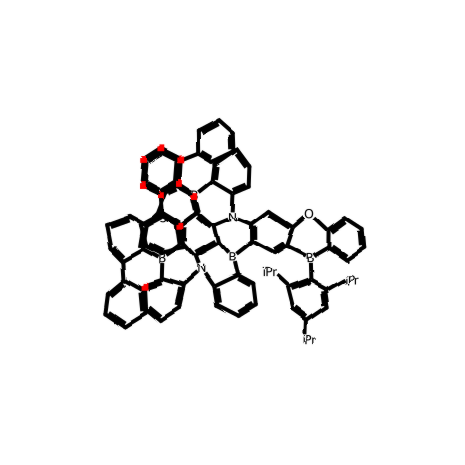 CC(C)c1cc(C(C)C)c(B2c3ccccc3Oc3cc4c(cc32)B2c3ccccc3N3c5ccccc5B(c5c(-c6ccccc6)cccc5-c5ccccc5)c5c(Sc6ccccc6)c6c(c2c53)N4c2ccccc2B6c2c(-c3ccccc3)cccc2-c2ccccc2)c(C(C)C)c1